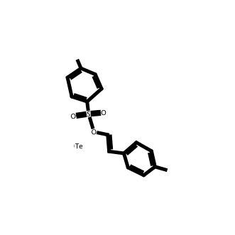 Cc1ccc(C=COS(=O)(=O)c2ccc(C)cc2)cc1.[Te]